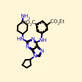 CCOC(=O)c1cc(Nc2nc(NC3CCC(N)CC3)nc3c2ncn3C2CCCC2)cc(C(=O)OCC)c1